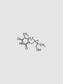 Cc1cn(CC2(C)CC2(C)CO)c(=O)[nH]c1=O